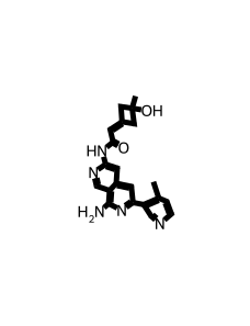 Cc1ccncc1-c1cc2cc(NC(=O)C=C3CC(C)(O)C3)ncc2c(N)n1